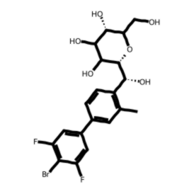 Cc1cc(-c2cc(F)c(Br)c(F)c2)ccc1[C@@H](O)[C@H]1OC(CO)[C@@H](O)C(O)C1O